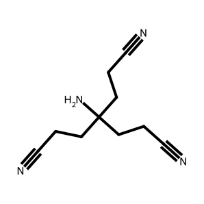 N#CCCC(N)(CCC#N)CCC#N